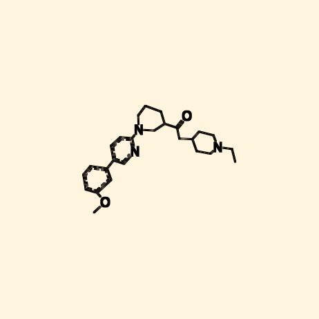 CCN1CCC(CC(=O)C2CCCN(c3ccc(-c4cccc(OC)c4)cn3)C2)CC1